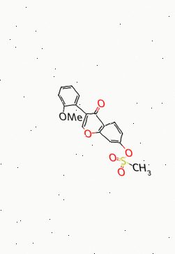 COc1ccccc1-c1coc2cc(OS(C)(=O)=O)ccc2c1=O